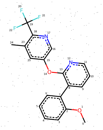 COc1ccccc1-c1cccnc1Oc1cnc(C(F)(F)F)c(C)c1